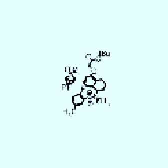 Cc1ccc(F)c(S(=O)(=O)N(C)C2CCCc3c(OCC(=O)OC(C)(C)C)cccc32)c1.O=S1(=O)C2CC(F)C1C2F